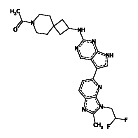 CC(=O)N1CCC2(CC1)CC(Nc1ncc3c(-c4ccc5nc(C)n(CC(F)F)c5n4)c[nH]c3n1)C2